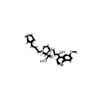 COc1ccc2nccc([C@@H](O)CC[C@@H]3CCN(CCCc4ccnnc4)C[C@@H]3C(=O)O)c2c1